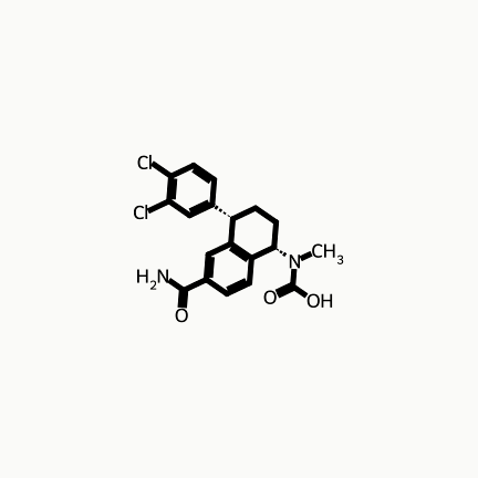 CN(C(=O)O)[C@H]1CC[C@@H](c2ccc(Cl)c(Cl)c2)c2cc(C(N)=O)ccc21